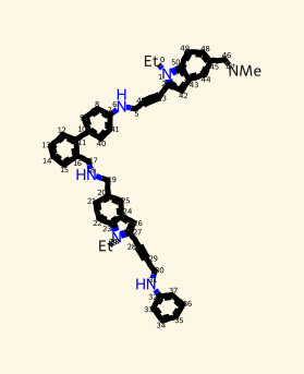 CCn1c(C#CCNc2ccc(-c3ccccc3CNCc3ccc4c(c3)cc(C#CCNc3ccccc3)n4CC)cc2)cc2cc(CNC)ccc21